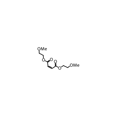 COCCOC(=O)/C=C\C(=O)OCCOC